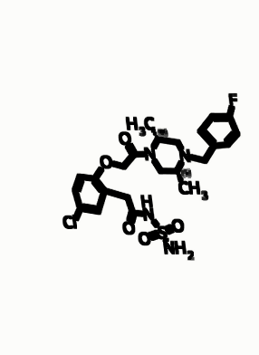 C[C@@H]1CN(Cc2ccc(F)cc2)[C@@H](C)CN1C(=O)COc1ccc(Cl)cc1CC(=O)NS(N)(=O)=O